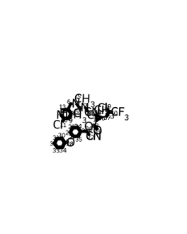 C/C(=N\C#N)N(C)Cc1ccc(Cl)nc1.CC1(C)[C@H](C(=O)OC(C#N)c2cccc(Oc3ccccc3)c2)[C@@H]1/C=C(\Cl)C(F)(F)F